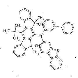 CC(C)(C)c1c2c(c(N(c3cccc(-c4ccccc4)c3)c3ccc4c(c3)sc3ccccc34)c3c1-c1ccccc1C3(C)C)C(C)(C)c1ccccc1-2